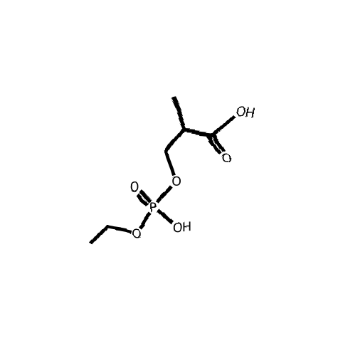 CCOP(=O)(O)OCC(C)C(=O)O